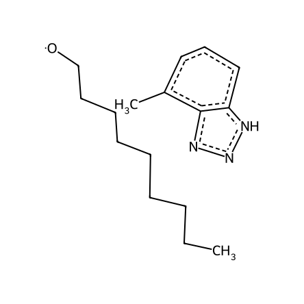 CCCCCCCCC[O].Cc1cccc2[nH]nnc12